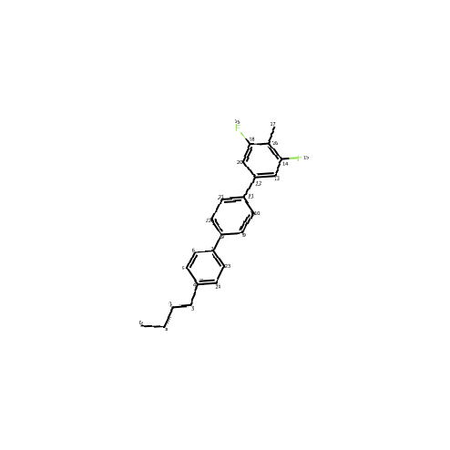 CCCCc1ccc(-c2ccc(-c3cc(F)c(C)c(F)c3)cc2)cc1